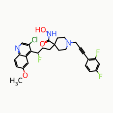 COc1ccc2ncc(Cl)c([C@H](F)CCC3(C(=O)NO)CCN(CC#Cc4ccc(F)cc4F)CC3)c2c1